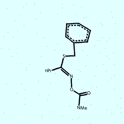 CCCC(=NOC(=O)NC)SCc1ccccc1